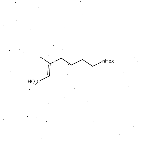 CCCCCCCCCCC(C)=CC(=O)O